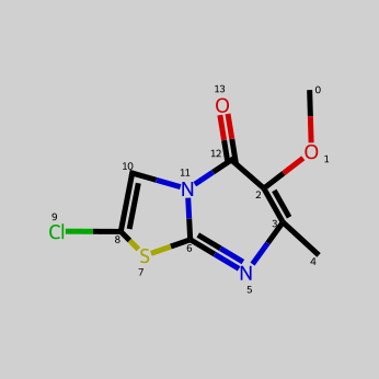 COc1c(C)nc2sc(Cl)cn2c1=O